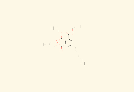 [CH2]CCCCCc1cc(C(=O)OCC)c(C(=O)OCC)c(C(=O)OCC)c1